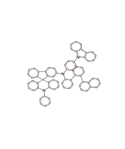 c1ccc(N2c3ccccc3C3(c4ccccc4-c4ccc(N(c5ccc(-n6c7ccccc7c7ccccc76)cc5)c5ccccc5-c5ccccc5-c5cccc6ccccc56)cc43)c3ccccc32)cc1